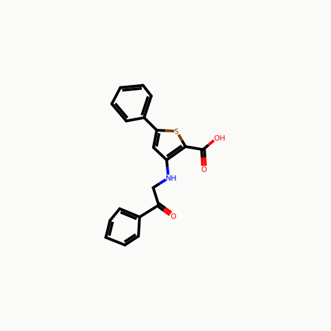 O=C(CNc1cc(-c2ccccc2)sc1C(=O)O)c1ccccc1